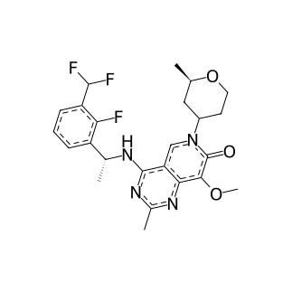 COc1c(=O)n(C2CCO[C@H](C)C2)cc2c(N[C@H](C)c3cccc(C(F)F)c3F)nc(C)nc12